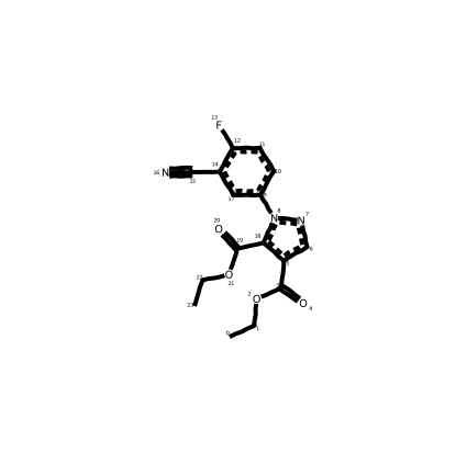 CCOC(=O)c1cnn(-c2ccc(F)c(C#N)c2)c1C(=O)OCC